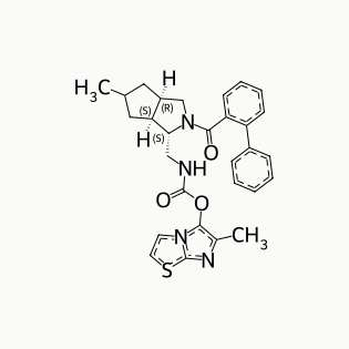 Cc1nc2sccn2c1OC(=O)NC[C@@H]1[C@H]2CC(C)C[C@H]2CN1C(=O)c1ccccc1-c1ccccc1